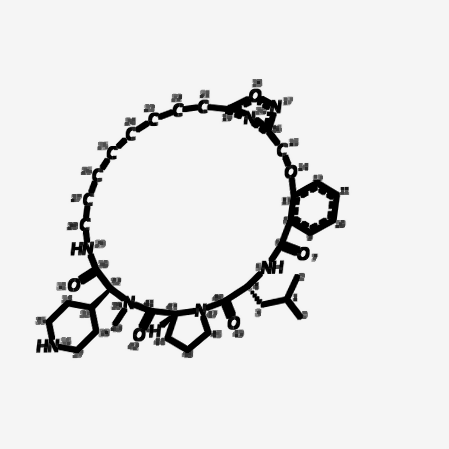 CC(C)C[C@H]1NC(=O)c2ccccc2OCc2noc(n2)CCCCCCCCNC(=O)[C@H](C2CCNCC2)N(C)C(=O)[C@H]2CCCN2C1=O